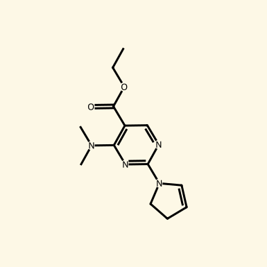 CCOC(=O)c1cnc(N2C=CCC2)nc1N(C)C